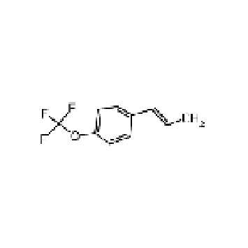 [CH2]/C=C/c1ccc(OC(F)(F)F)cc1